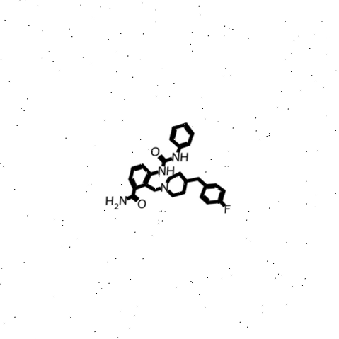 NC(=O)c1cccc(NC(=O)Nc2ccccc2)c1CN1CCC(Cc2ccc(F)cc2)CC1